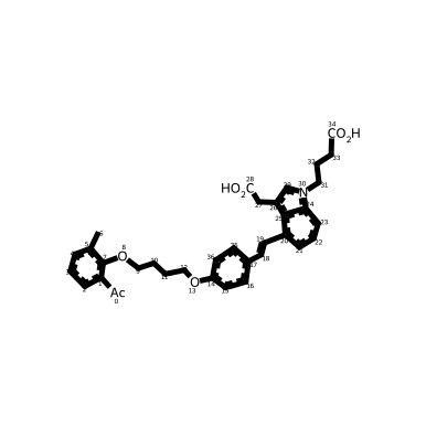 CC(=O)c1cccc(C)c1OCCCCOc1ccc(C=Cc2cccc3c2c(CC(=O)O)cn3CCCC(=O)O)cc1